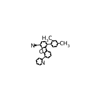 Cc1ccc(-c2ccc(C#N)c3oc4c(-c5ccccn5)cccc4c23)c(C)c1